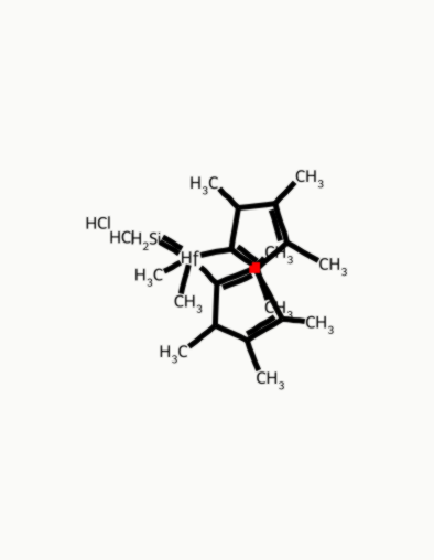 CC1=C(C)C(C)[C]([Hf]([CH3])([CH3])(=[SiH2])[C]2=C(C)C(C)=C(C)C2C)=C1C.Cl.Cl